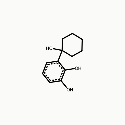 Oc1cccc(C2(O)CCCCC2)c1O